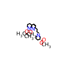 COC(=O)[C@@H]1CCCN(CCCc2ccc3c(n2)N(C(=O)OC(C)(C)C)CCC3)C1